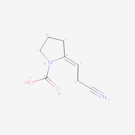 N#CCC=C1CCCN1C(=O)O